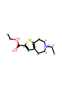 CCOC(=O)c1cc2c(s1)CCN(CC)CC2